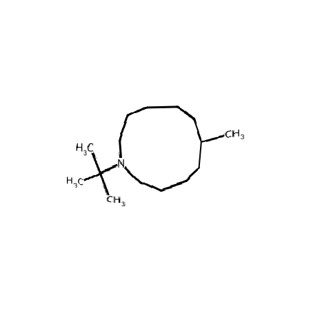 CC1CCCCCN(C(C)(C)C)CCCC1